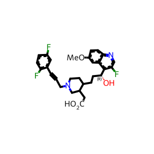 COc1ccc2ncc(F)c([C@H](O)CCC3CCN(CC#Cc4cc(F)ccc4F)CC3CC(=O)O)c2c1